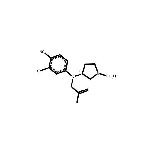 C=C(C)CN(c1ccc(C#N)c(Cl)c1)[C@H]1CCN(C(=O)O)C1